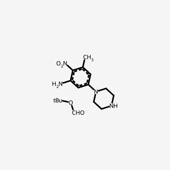 CC(C)(C)OC=O.Cc1cc(N2CCNCC2)cc(N)c1[N+](=O)[O-]